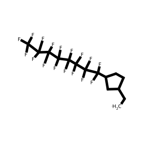 [CH2]CC1C[CH]C(C(F)(F)C(F)(F)C(F)(F)C(F)(F)C(F)(F)C(F)(F)C(F)(F)C(F)(F)F)C1